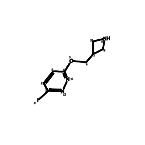 Ic1ccc(OCC2CNC2)nn1